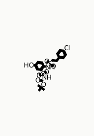 CC(C)(C)OC(=O)NS(=O)(=O)c1cc(O)ccc1NS(=O)(=O)CCc1ccc(Cl)cc1